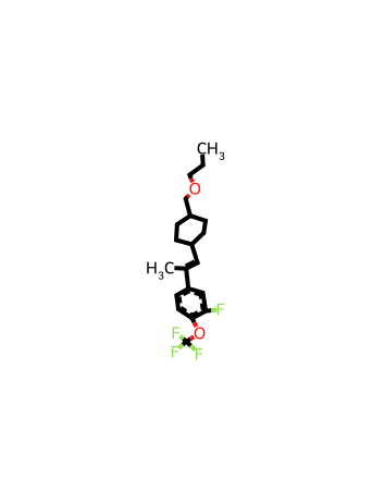 CCCOCC1CCC(/C=C(\C)c2ccc(OC(F)(F)F)c(F)c2)CC1